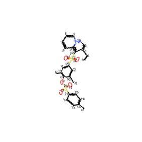 CCc1cn2ccccc2c1S(=O)(=O)c1cc(C)c(OS(=O)(=O)c2ccc(C)cc2)c(C)c1